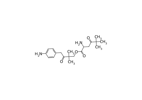 CC(C)(C)C(=O)CC(N)C(=O)OCC(C)(C)C(=O)Cc1ccc(N)cc1